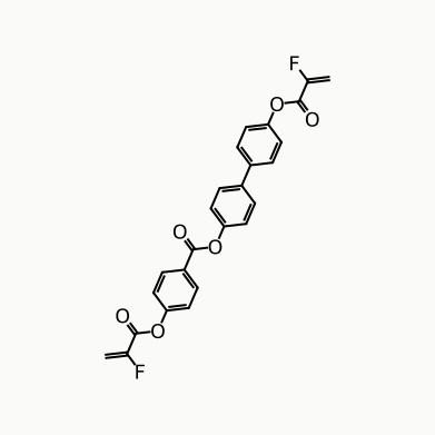 C=C(F)C(=O)Oc1ccc(C(=O)Oc2ccc(-c3ccc(OC(=O)C(=C)F)cc3)cc2)cc1